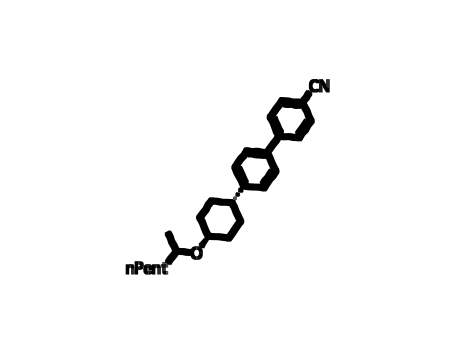 CCCCCC(C)O[C@H]1CC[C@H](c2ccc(-c3ccc(C#N)cc3)cc2)CC1